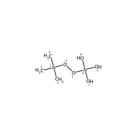 C[Si](C)(C)OO[Si](O)(O)O